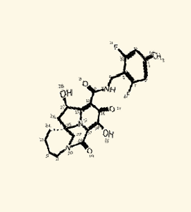 Cc1cc(F)c(CNC(=O)c2c3n4c(c(O)c2=O)C(=O)N2CCCC[C@@]4(C[C@H]3O)C2)c(F)c1